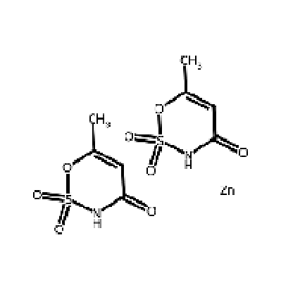 CC1=CC(=O)NS(=O)(=O)O1.CC1=CC(=O)NS(=O)(=O)O1.[Zn]